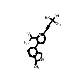 C=C1NCc2c1cccc2-c1ccc(C#CC(C)(C)O)nc1C(C)C